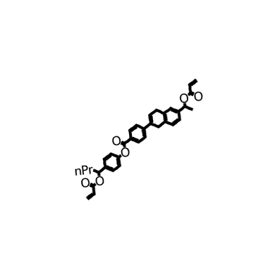 C=CC(=O)OC(C)c1ccc2c(c1)CC=C(c1ccc(C(=O)Oc3ccc(C(CCC)OC(=O)C=C)cc3)cc1)C2